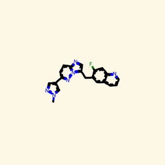 Cn1cc(-c2ccc3ncc(Cc4cc5cccnc5cc4F)n3n2)cn1